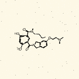 CCCCN(C)C(=O)c1cc(C(=O)N2Cc3ccc(OCCN(C)C)cc3C2)c(O)cc1O